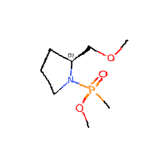 COC[C@@H]1CCCN1P(C)(=O)OC